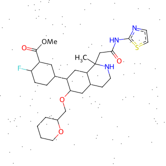 COC(=O)C1CC(C2CC3C(CCNC3(C)CC(=O)Nc3nccs3)CC2OCC2CCCCO2)CCC1F